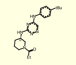 CCC(=O)N1CCC[C@@H](Nc2nncc(Nc3ccc(C(C)(C)C)cc3)n2)C1